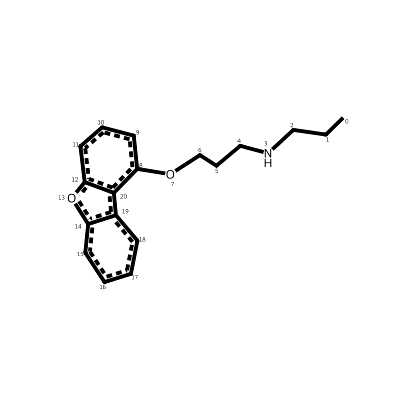 CCCNCCCOc1cccc2oc3ccccc3c12